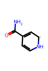 NC(=O)C1=C[C]NC=C1